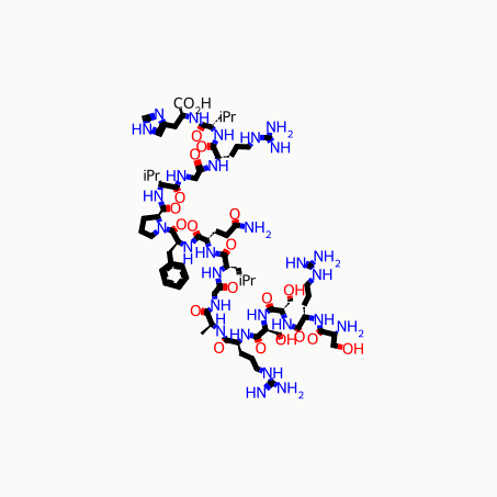 CC(C)C[C@H](NC(=O)CNC(=O)[C@H](C)NC(=O)[C@H](CCCNC(=N)N)NC(=O)[C@H](CO)NC(=O)[C@H](CO)NC(=O)[C@H](CCCNC(=N)N)NC(=O)[C@@H](N)CO)C(=O)N[C@@H](CCC(N)=O)C(=O)N[C@@H](Cc1ccccc1)C(=O)N1CCC[C@H]1C(=O)N[C@H](C(=O)NCC(=O)N[C@@H](CCCNC(=N)N)C(=O)N[C@H](C(=O)N[C@@H](Cc1c[nH]cn1)C(=O)O)C(C)C)C(C)C